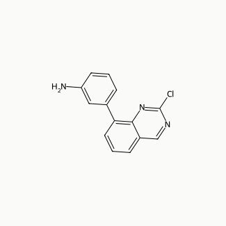 Nc1cccc(-c2cccc3cnc(Cl)nc23)c1